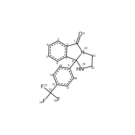 O=C1c2ccccc2C2(c3ccc(C(F)(F)F)cc3)NCCN12